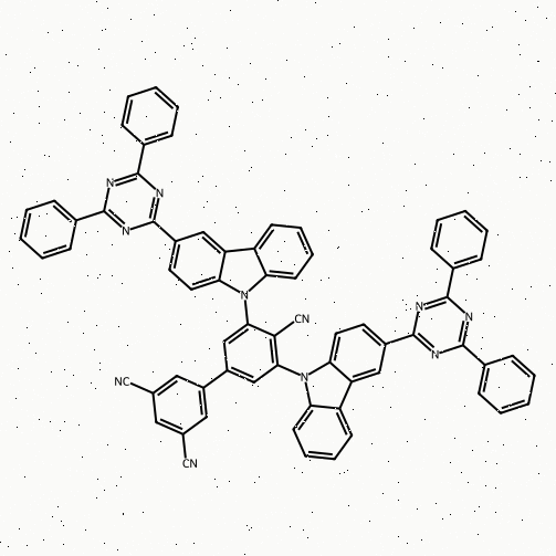 N#Cc1cc(C#N)cc(-c2cc(-n3c4ccccc4c4cc(-c5nc(-c6ccccc6)nc(-c6ccccc6)n5)ccc43)c(C#N)c(-n3c4ccccc4c4cc(-c5nc(-c6ccccc6)nc(-c6ccccc6)n5)ccc43)c2)c1